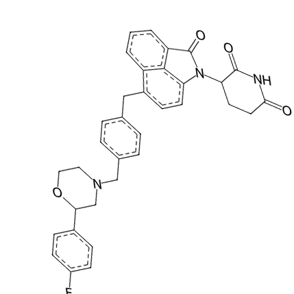 O=C1CCC(N2C(=O)c3cccc4c(Cc5ccc(CN6CCOC(c7ccc(F)cc7)C6)cc5)ccc2c34)C(=O)N1